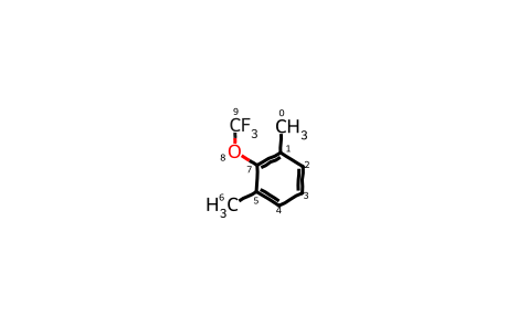 Cc1cccc(C)c1OC(F)(F)F